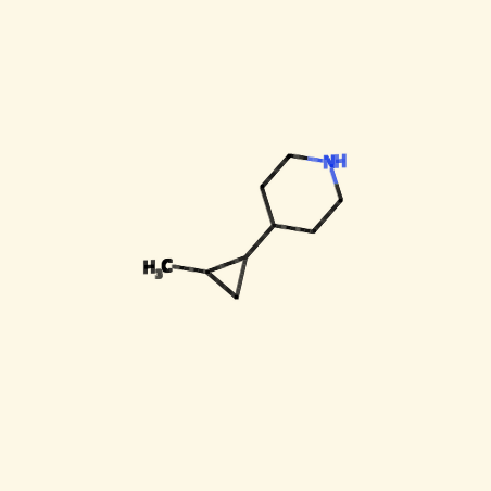 CC1CC1C1CCNCC1